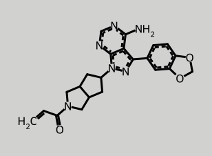 C=CC(=O)N1CC2CC(n3nc(-c4ccc5c(c4)OCO5)c4c(N)ncnc43)CC2C1